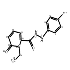 O=C(NNc1ccc(F)cc1)c1cccc(=O)n1CC(F)(F)F